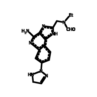 CCN(C=O)Cc1nc2c(N)nc3cc(N4N=CCN4)ccc3c2[nH]1